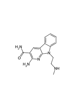 CNCCn1c2ccccc2c2cc(C(N)=O)c(N)nc21